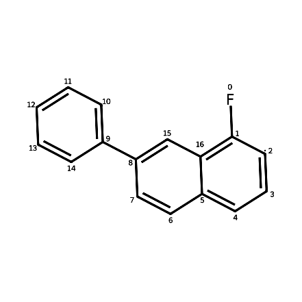 Fc1[c]ccc2ccc(-c3ccccc3)cc12